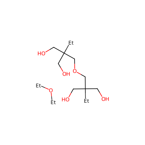 CCC(CO)(CO)COCC(CC)(CO)CO.CCOCC